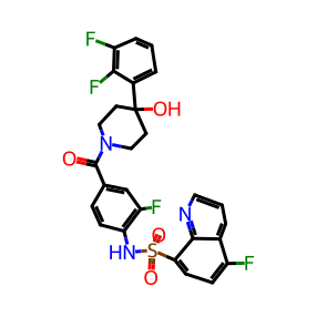 O=C(c1ccc(NS(=O)(=O)c2ccc(F)c3cccnc23)c(F)c1)N1CCC(O)(c2cccc(F)c2F)CC1